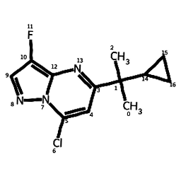 CC(C)(c1cc(Cl)n2ncc(F)c2n1)C1CC1